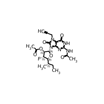 C#CCn1c(=O)n([C@@H]2O[C@H]([C@@H](C)CC)[C@H](F)[C@H]2OC(C)=O)c2nc(NC(C)=O)[nH]c(=O)c21